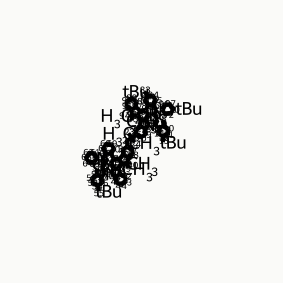 CC(C)(C)c1ccc(N2B3c4sc5ccc(C(C)(C)C)cc5c4-n4c5ccc(C(C)(C)Cc6ccc7c(c6)-c6c8c9c%10c(c6C7(C)C)c6ccccc6n%10-c6c(sc7ccc(C(C)(C)C)cc67)B9N(c6ccccc6)c6ccccc6-8)cc5c5c6c(c(c3c54)-c3cc(C(C)(C)C)ccc32)-c2ccccc2C6(C)C)cc1